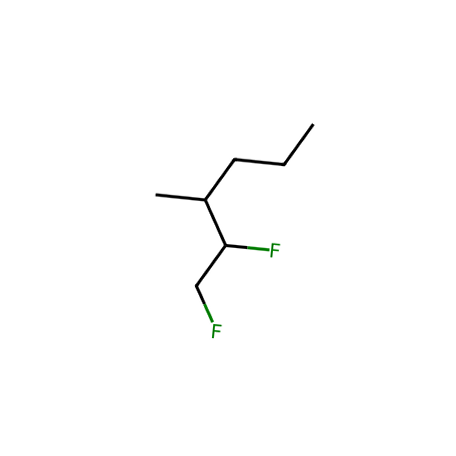 CCCC(C)C(F)CF